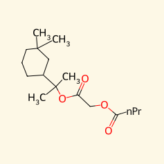 CCCC(=O)OCC(=O)OC(C)(C)C1CCCC(C)(C)C1